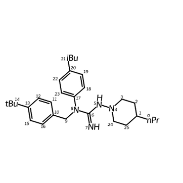 CCCC1CCN(NC(=N)N(Cc2ccc(C(C)(C)C)cc2)c2ccc(C(C)CC)cc2)CC1